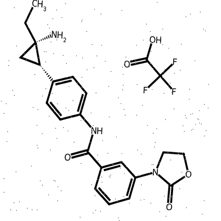 CC[C@]1(N)C[C@H]1c1ccc(NC(=O)c2cccc(N3CCOC3=O)c2)cc1.O=C(O)C(F)(F)F